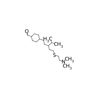 CC(C)C(CCSCCN(C)C)CCC1CCC(C=O)CC1